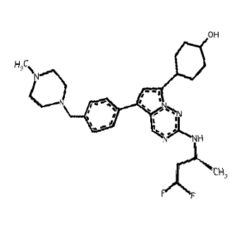 C[C@@H](CC(F)F)Nc1ncc2c(-c3ccc(CN4CCN(C)CC4)cc3)cc(C3CCC(O)CC3)n2n1